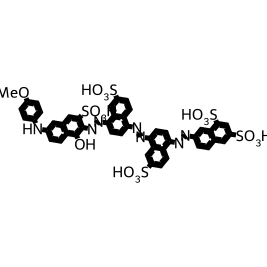 COc1ccc(Nc2ccc3c(O)c(N=Nc4ccc(N=Nc5ccc(N=Nc6ccc7cc(S(=O)(=O)O)cc(S(=O)(=O)O)c7c6)c6ccc(S(=O)(=O)O)cc56)c5ccc(S(=O)(=O)O)cc45)c(S(=O)(=O)O)cc3c2)cc1